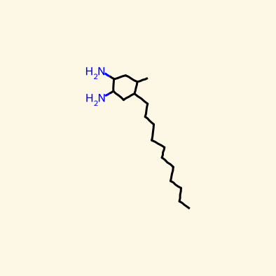 CCCCCCCCCCCC1CC(N)C(N)CC1C